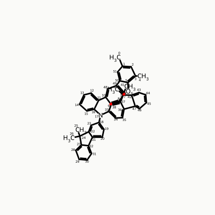 Cc1cc(C)c2oc3ccc(-c4ccccc4N(c4ccc5c(c4)C(C)(C)c4ccccc4-5)c4ccc5c(c4)C(C)(C)c4ccccc4-5)cc3c2c1